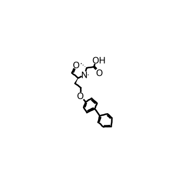 C[C@@H]([N][C@H](C=O)CCOc1ccc(-c2ccccc2)cc1)C(=O)O